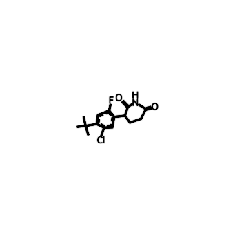 CC(C)(C)c1cc(F)c(C2CCC(=O)NC2=O)cc1Cl